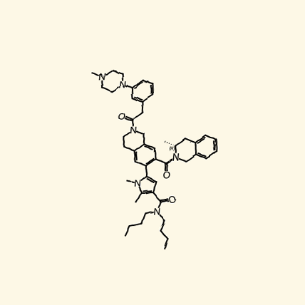 CCCCN(CCCC)C(=O)c1cc(-c2cc3c(cc2C(=O)N2Cc4ccccc4C[C@H]2C)CN(C(=O)Cc2cccc(N4CCN(C)CC4)c2)CC3)n(C)c1C